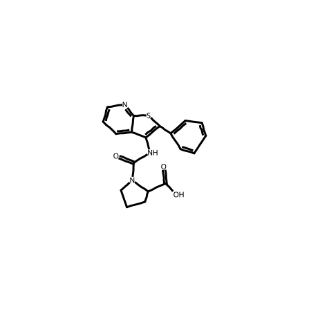 O=C(O)C1CCCN1C(=O)Nc1c(-c2ccccc2)sc2ncccc12